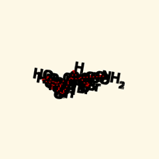 CC[C@H](C)[C@@H]([C@@H](CC(=O)N1CCC[C@H]1[C@H](OC)[C@@H](C)C(=O)N[C@H](C)[C@@H](O)c1ccccc1)OC)N(C)C(=O)[C@@H](NC(=O)[C@H](C(C)C)N(C)C(=O)COCNC(=O)CNC(=O)[C@H](Cc1ccccc1)NC(=O)CNC(=O)CC(COCCOCCOCCOCCC(N)=O)NC(=O)CN1C(=O)C(CBr)=C(CBr)C1=O)C(C)C